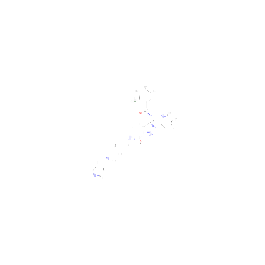 Cc1c(C(=O)NCCC2CCN(c3ccncc3)CC2)nn(-c2ccccn2)c1NC(=O)c1ccccc1Cl